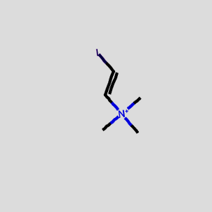 C[N+](C)(C)C=CI